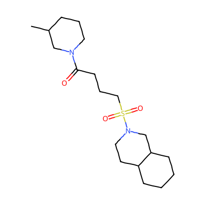 CC1CCCN(C(=O)CCCS(=O)(=O)N2CCC3CCCCC3C2)C1